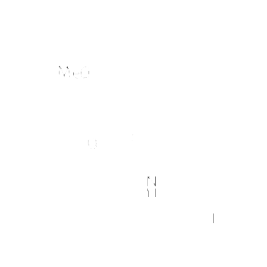 COc1cccc2cc(I)[nH]c(=O)c12